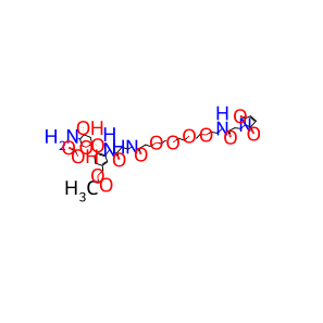 CC(=O)OCc1ccc(O[C@H]2C[C@@H](O)[C@H](N)[C@@H](C(=O)O)O2)c(NC(=O)CCNC(=O)CCOCCOCCOCCOCCNC(=O)CCN2C(=O)C=CC2=O)c1